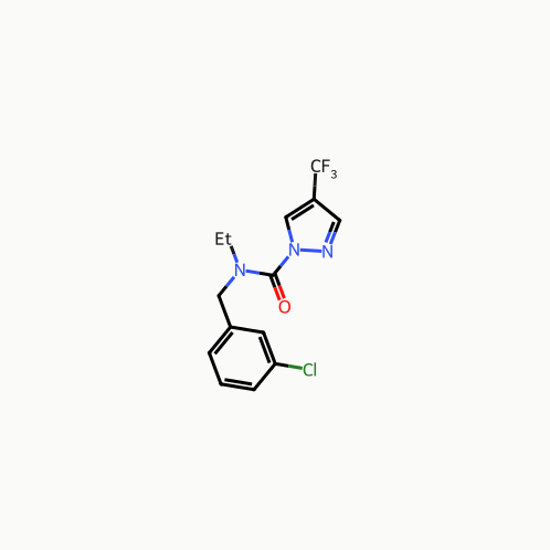 CCN(Cc1cccc(Cl)c1)C(=O)n1cc(C(F)(F)F)cn1